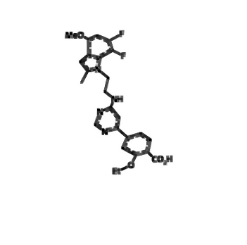 CCOc1cc(-c2cc(NCCn3c(C)cc4c(OC)cc(F)c(F)c43)ncn2)ccc1C(=O)O